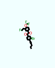 CCCC#Cc1ccc(C(=O)C(=O)c2ccc(OC(F)F)c(CCF)c2)cc1Br